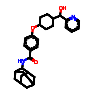 O=C(NC1C2CC3CC(C2)CC1C3)c1ccc(OC2CCC(C(O)c3ccccn3)CC2)cc1